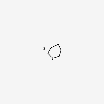 C1CCSCC1.[S]